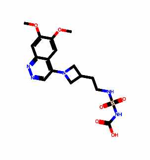 COc1cc2nncc(N3CC(CCNS(=O)(=O)NC(=O)O)C3)c2cc1OC